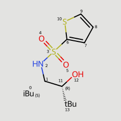 CC[C@H](C)C(NS(=O)(=O)c1cccs1)[C@H](O)C(C)(C)C